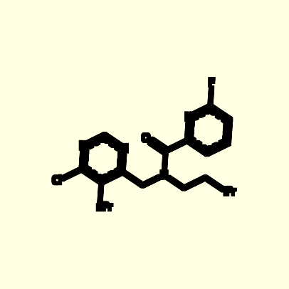 CCCc1c(Cl)ncnc1CN(CCC(C)C)C(=O)c1cccc(F)n1